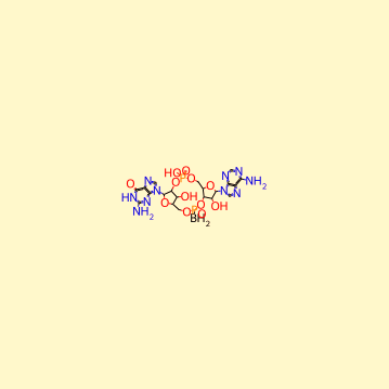 BP1(=O)OCC2OC(n3cnc4c(=O)[nH]c(N)nc43)C(OP(=O)(O)OCC3OC(n4cnc5c(N)ncnc54)C(O)C3O1)C2O